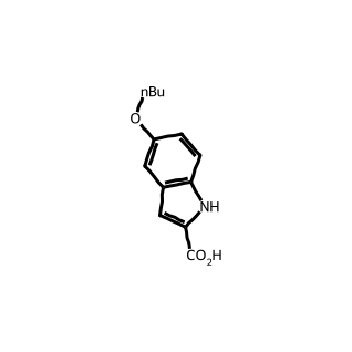 CCCCOc1ccc2[nH]c(C(=O)O)cc2c1